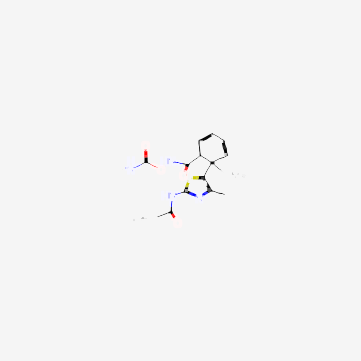 CCCCCC(=O)Nc1nc(C)c(C2(OC)C=CC=CC2C(=O)NOC(=O)NCC)s1